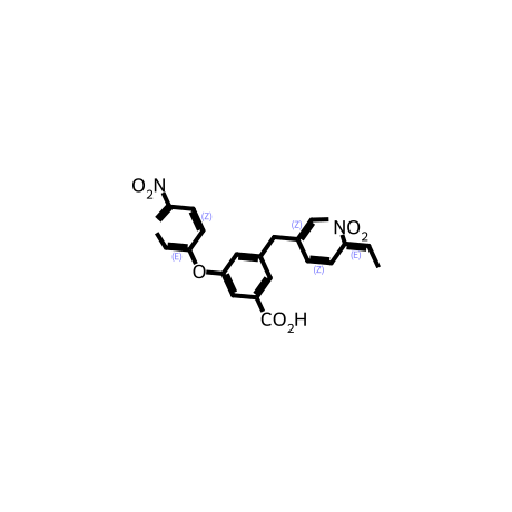 C=C(/C=C\C(=C/C)Oc1cc(CC(/C=C\C(=C/C)[N+](=O)[O-])=C/C)cc(C(=O)O)c1)[N+](=O)[O-]